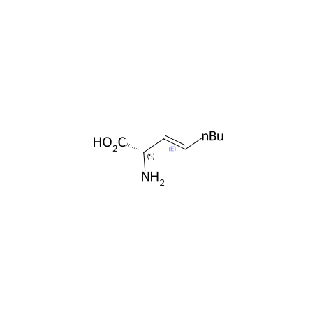 CCCC/C=C/[C@H](N)C(=O)O